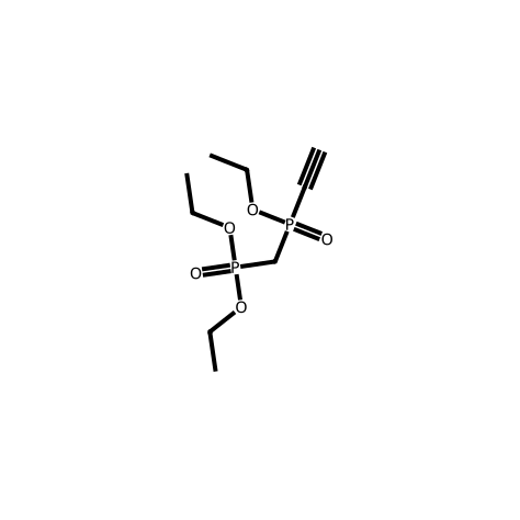 C#CP(=O)(CP(=O)(OCC)OCC)OCC